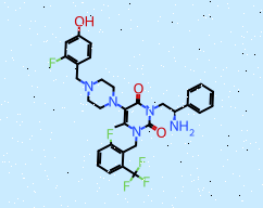 Cc1c(N2CCN(Cc3ccc(O)cc3F)CC2)c(=O)n(C[C@H](N)c2ccccc2)c(=O)n1Cc1c(F)cccc1C(F)(F)F